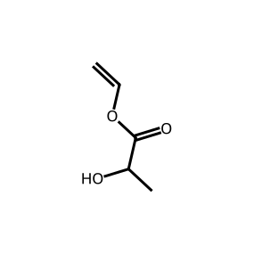 C=COC(=O)C(C)O